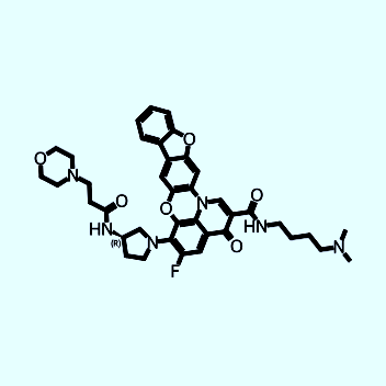 CN(C)CCCCNC(=O)c1cn2c3c(c(N4CC[C@@H](NC(=O)CCN5CCOCC5)C4)c(F)cc3c1=O)Oc1cc3c(cc1-2)oc1ccccc13